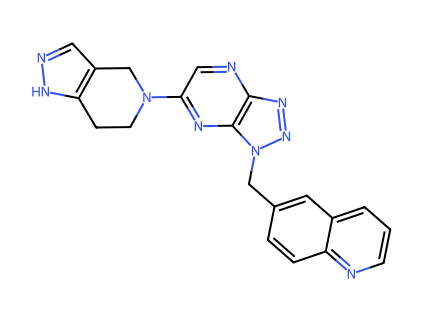 c1cnc2ccc(Cn3nnc4ncc(N5CCc6[nH]ncc6C5)nc43)cc2c1